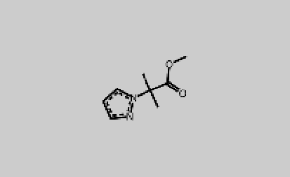 COC(=O)C(C)(C)n1cccn1